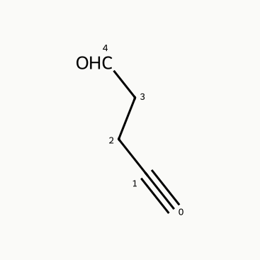 C#CCCC=O